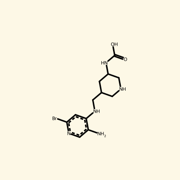 Nc1cnc(Br)cc1NCC1CNCC(NC(=O)O)C1